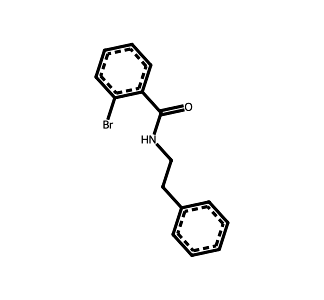 O=C(NCCc1ccccc1)c1ccccc1Br